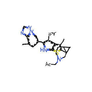 CC(=O)CN1CCC2CC2(c2sc3[nH]c(-c4cc(C)c5ncnn5c4)c(C(C)C)c3c2C)C1